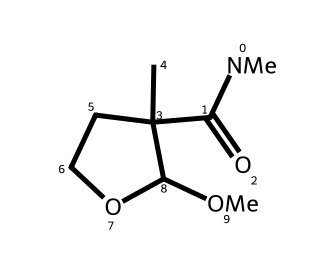 CNC(=O)C1(C)CCOC1OC